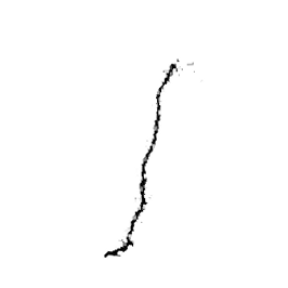 C=CCOCC(C)OCCOCCOCCOCCOCCOCCOCCOCCOCCOCCOS(=O)(=O)ON